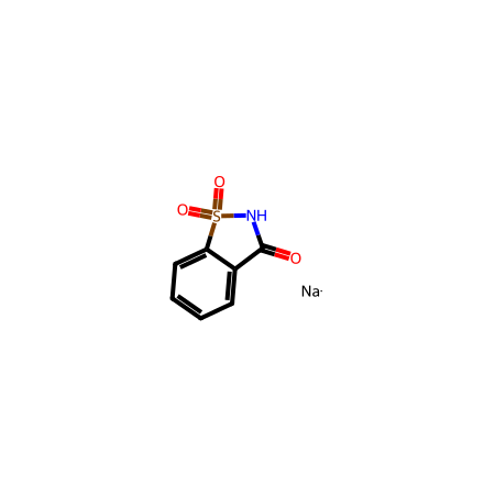 O=C1NS(=O)(=O)c2ccccc21.[Na]